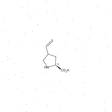 O=C(O)[C@@H]1CC(C=S)CN1